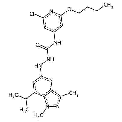 CCCCOc1cc(NC(=O)NNc2cc(C(C)C)c3c(n2)c(C)nn3C)cc(Cl)n1